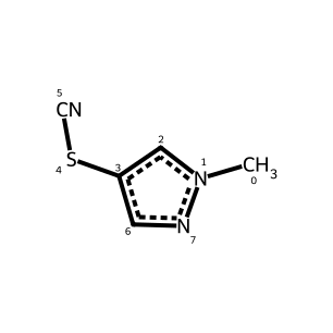 Cn1cc(SC#N)cn1